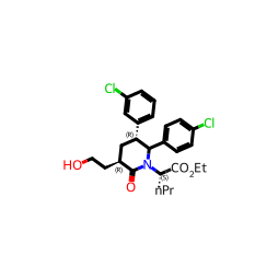 CCC[C@@H](C(=O)OCC)N1C(=O)[C@@H](CCO)C[C@H](c2cccc(Cl)c2)C1c1ccc(Cl)cc1